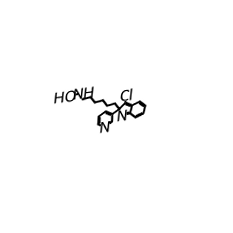 ONCCCCCCC1(c2cccnc2)N=c2ccccc2=C1Cl